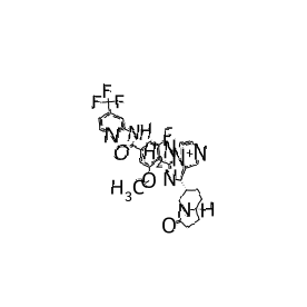 COc1cc(C(=O)Nc2cc(C(F)(F)F)ccn2)cc(F)c1C1=NC([C@@H]2CC[C@H]3CCC(=O)N3C2)=C2C=NC=C[N+]12N